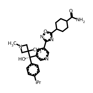 CC(C)c1ccc([C@](O)(c2cncc(-c3noc(C4CCC(C(N)=O)CC4)n3)c2)C2(C)CN(C)C2)cc1